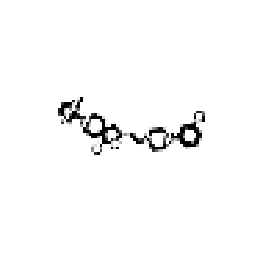 Cn1ccnc1N1CCC2(CC1)C[C@H](CCN1CCN(c3cccc(Cl)c3)CC1)OC2=O